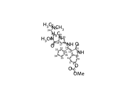 COC(=O)Oc1ccc2c(c1)NC(=O)/C2=C(\Nc1cc(C(=O)N(C)CCN(C)C)n(C)c1)c1ccccc1